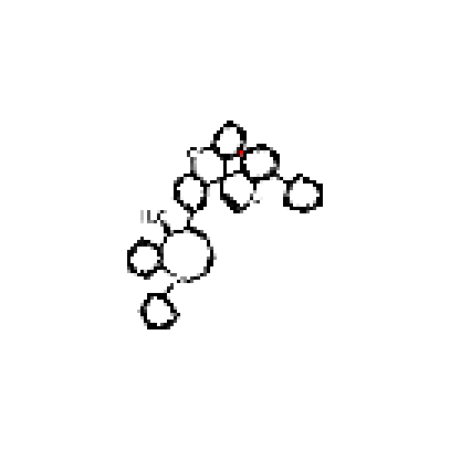 C=C1/C(c2ccc3c(c2)C2(c4ccccc4O3)c3ccccc3Oc3c(-c4ccccc4)cccc32)=C\C=C/CN(c2ccccc2)c2ccccc21